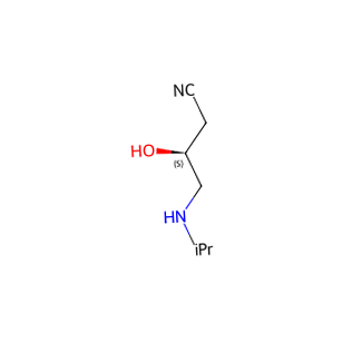 CC(C)NC[C@@H](O)CC#N